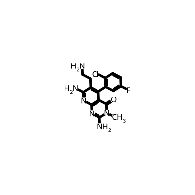 Cn1c(N)nc2nc(N)c(CCN)c(-c3cc(F)ccc3Cl)c2c1=O